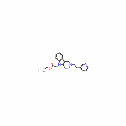 CCOC(=O)Cn1c2c(c3ccccc31)CN(CCc1cccnc1)CC2